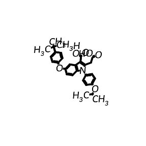 CC(C)Oc1ccc(-n2c(CC(=O)O)c(C(=O)O)c3cc(Oc4ccc(C(C)(C)C)cc4)ccc32)cc1